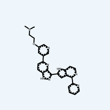 CN(C)CCOc1cncc(-c2ccc3[nH]nc(-c4cc5c(-c6ccccn6)nccc5[nH]4)c3n2)c1